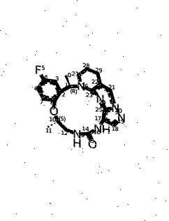 C[C@@H]1c2cc(F)ccc2O[C@@H](C)CNC(=O)Nc2cnn3cc4c(nc23)N1CCC4